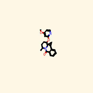 COc1ccnc(OC2CCC(C)N(C(=O)c3ccccc3C3CC3)C2)c1